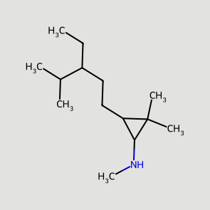 CCC(CCC1C(NC)C1(C)C)C(C)C